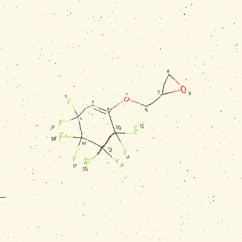 FC1(F)C=C(OCC2CO2)C(F)(F)C(F)(F)C1(F)F